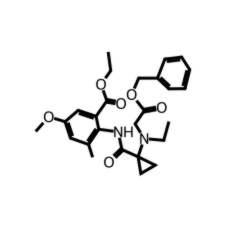 CCOC(=O)c1cc(OC)cc(C)c1NC(=O)C1(N(CC)CC(=O)OCc2ccccc2)CC1